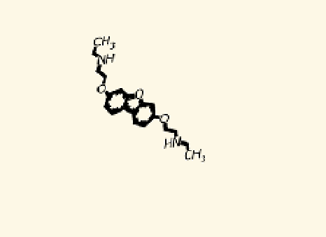 CCNCCOc1ccc2c(c1)oc1cc(OCCNCC)ccc12